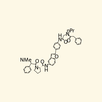 CCCN(CC(=O)Nc1ccc(-c2cc3cc(NC(=O)[C@@H]4CCCN4C(=O)[C@H](NC)c4ccccc4)ccc3o2)cc1)C(=O)Cc1ccccc1